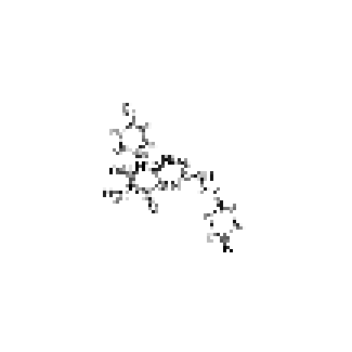 Cn1c(=O)c2nc(NCCN3CCNCC3)nnc2n(-c2ccc(F)cc2)c1=O